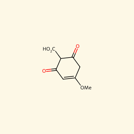 COC1=CC(=O)C(C(=O)O)C(=O)C1